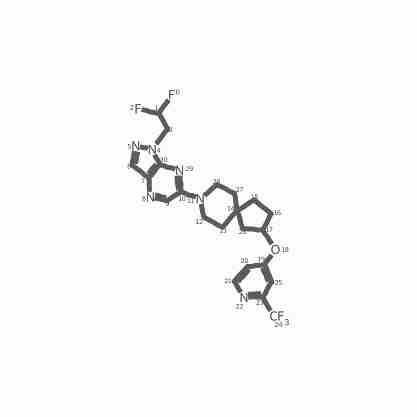 FC(F)Cn1ncc2ncc(N3CCC4(CCC(Oc5ccnc(C(F)(F)F)c5)C4)CC3)nc21